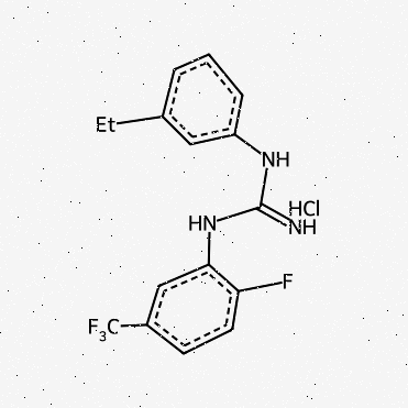 CCc1cccc(NC(=N)Nc2cc(C(F)(F)F)ccc2F)c1.Cl